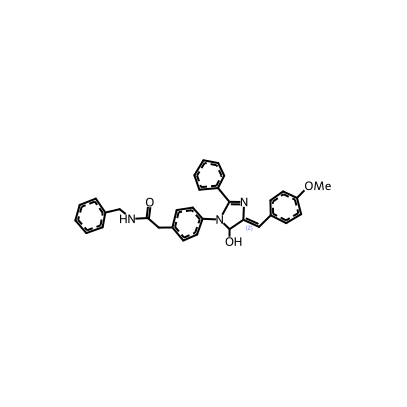 COc1ccc(/C=C2\N=C(c3ccccc3)N(c3ccc(CC(=O)NCc4ccccc4)cc3)C2O)cc1